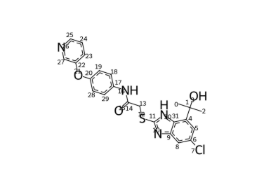 CC(C)(O)c1cc(Cl)cc2nc(SCC(=O)Nc3ccc(Oc4cccnc4)cc3)[nH]c12